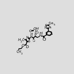 CCCOC(=O)c1sc(NC(=O)[C@H](N)CNC(=O)c2cccc(-c3noc(C)n3)c2)nc1C.O=CO